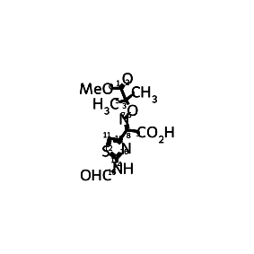 COC(=O)C(C)(C)ON=C(C(=O)O)c1csc(NC=O)n1